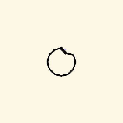 [C]1=C/CCCCCCCCCC/1